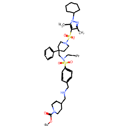 Cc1nn(C2CCCCC2)c(C)c1S(=O)(=O)N1CCC(CN(CC(C)C)S(=O)(=O)c2ccc(CNCC3CCN(C(=O)OC(C)(C)C)CC3)cc2)(c2ccccc2)CC1